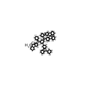 CC1(C)c2ccccc2-c2ccc(N(c3ccccc3)c3cc(-c4ccc5c(c4)c4ccccc4n5-c4ccccc4)cc(N(c4ccccc4)c4ccc5c(c4)C4(c6ccccc6-c6ccccc64)c4ccccc4-5)c3)cc21